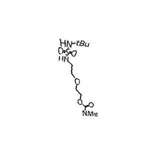 CNC(=O)OCCOCCNS(=O)(=O)NC(C)(C)C